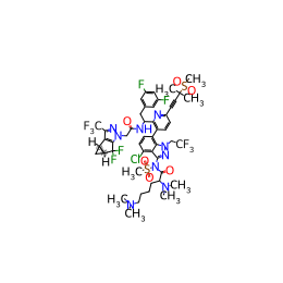 CN(C)CCCCC(C(=O)N(c1nn(CC(F)(F)F)c2c(-c3ccc(C#CC(C)(C)S(C)(=O)=O)nc3C(Cc3cc(F)cc(F)c3)NC(=O)Cn3nc(C(F)(F)F)c4c3C(F)(F)[C@@H]3C[C@H]43)ccc(Cl)c12)S(C)(=O)=O)N(C)C